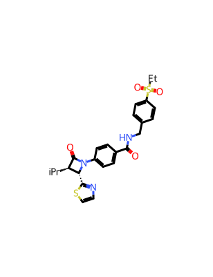 CCS(=O)(=O)c1ccc(CNC(=O)c2ccc(N3C(=O)[C@H](C(C)C)[C@H]3c3nccs3)cc2)cc1